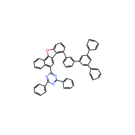 c1ccc(-c2cc(-c3ccccc3)cc(-c3cccc(-c4cccc5oc6c7ccccc7c(-c7nc(-c8ccccc8)nc(-c8ccccc8)n7)cc6c45)c3)c2)cc1